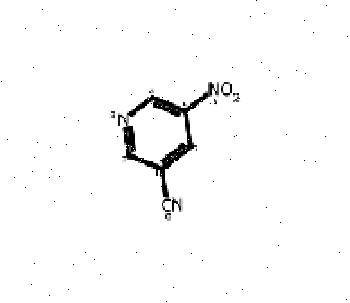 N#Cc1[c]ncc([N+](=O)[O-])c1